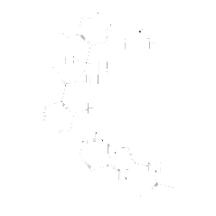 [2H]C([2H])(NC(=O)c1cccc(-c2ccc3nc(NC(C)=O)cn3n2)c1F)c1cc(OC(F)(F)F)ccc1F